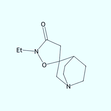 CCN1OC2(CC1=O)CN1CCC2CC1